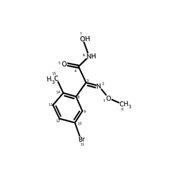 CO/N=C(/C(=O)NO)c1cc(Br)ccc1C